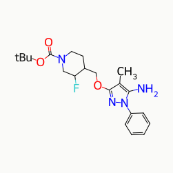 Cc1c(OCC2CCN(C(=O)OC(C)(C)C)CC2F)nn(-c2ccccc2)c1N